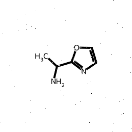 CC(N)c1ncco1